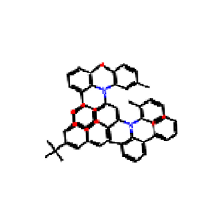 Cc1ccc(C)c(N(c2c(C)cccc2-c2ccccc2)c2cc(N(c3cc(C)ccc3C)c3c(C)cccc3-c3ccccc3)c3ccc4cc(C(C)(C)C)cc5ccc2c3c54)c1